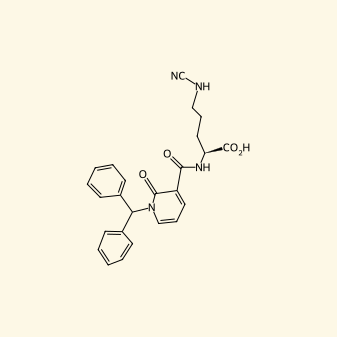 N#CNCCC[C@H](NC(=O)c1cccn(C(c2ccccc2)c2ccccc2)c1=O)C(=O)O